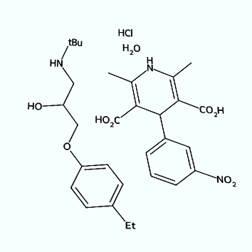 CC1=C(C(=O)O)C(c2cccc([N+](=O)[O-])c2)C(C(=O)O)=C(C)N1.Cl.O.[CH2]Cc1ccc(OCC(O)CNC(C)(C)C)cc1